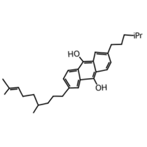 CC(C)=CCCC(C)CCCc1ccc2c(O)c3cc(CCCC(C)C)ccc3c(O)c2c1